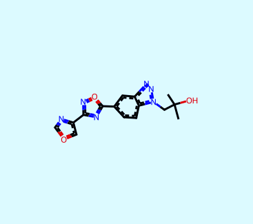 CC(C)(O)Cn1nnc2cc(-c3nc(-c4cocn4)no3)ccc21